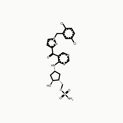 NS(=O)(=O)OC[C@H]1C[C@@H](Nc2ncncc2C(=O)c2ccn(Cc3cc(Cl)ccc3Cl)n2)C[C@@H]1O